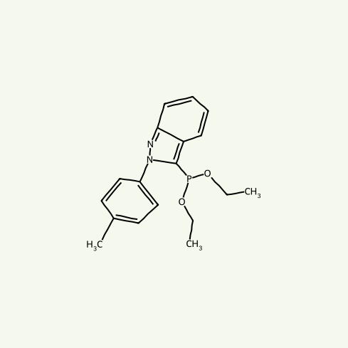 CCOP(OCC)c1c2ccccc2nn1-c1ccc(C)cc1